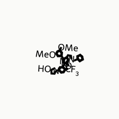 COc1cc(OC)cc(-c2nn(-c3cc(N4CCC(O)C4)ccc3C(F)(F)F)c(=O)c3c2CCN3Cc2ccccc2)c1